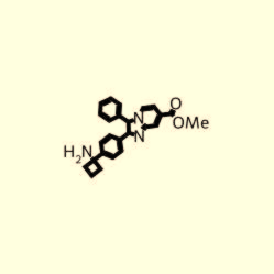 COC(=O)C1=CC2=NC(c3ccc(C4(N)CCC4)cc3)C(c3ccccc3)N2C=C1